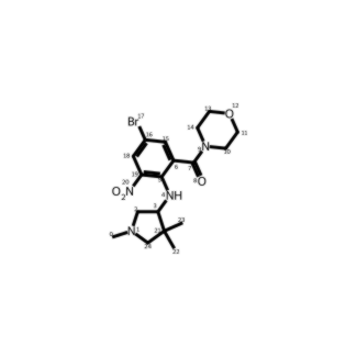 CN1CC(Nc2c(C(=O)N3CCOCC3)cc(Br)cc2[N+](=O)[O-])C(C)(C)C1